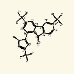 CC1C=C(C(C)(C)C)C=C1c1cc(C(C)(C)C)cc2c1[CH]([Zr])c1ccc(C(C)(C)C)cc1-2